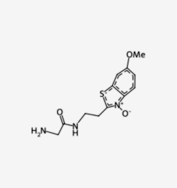 COc1ccc2c(c1)sc(CCNC(=O)CN)[n+]2[O-]